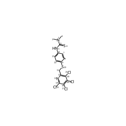 CN(C)C(=S)Nc1ccc(SCc2nc(Cl)c(Cl)c(Cl)c2Cl)cc1